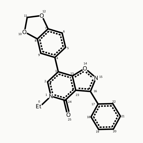 CCn1cc(-c2ccc3c(c2)OCO3)c2onc(-c3ccccc3)c2c1=O